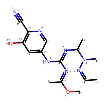 C/C=N\N(C)C(C)/N=C(\N=C(/C)OC)Nc1cnc(C#N)c(O)c1